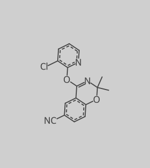 CC1(C)N=C(Oc2ncccc2Cl)c2cc(C#N)ccc2O1